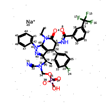 CCN1C(=O)[C@@H](NC(=O)c2cccc(C(F)(F)F)c2)[C@@H](c2ccc(F)cc2)c2c([C@@H](C)N(C#N)COP(=O)([O-])O)nn(-c3ccccc3)c21.[Na+]